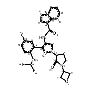 O=C(Nc1cn(C2CCN(C3COC3)C2=O)nc1-c1cc(Cl)ccc1OC(F)F)c1cnn2cccnc12